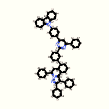 c1ccc(-c2cc(-c3ccc(-n4c5ccccc5c5ccccc54)cc3)nc(-c3cccc(-c4cccc5c4cc(-c4ccccc4)n4nc(-c6ccccc6)c(-c6ccccc6)c54)c3)n2)cc1